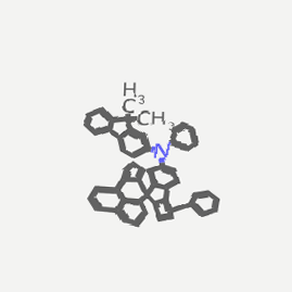 CC1(C)c2ccccc2-c2ccc(N(c3ccccc3)c3ccc4c(c3)C3(c5ccccc5-c5cccc6cccc3c56)c3cccc(-c5ccccc5)c3-4)cc21